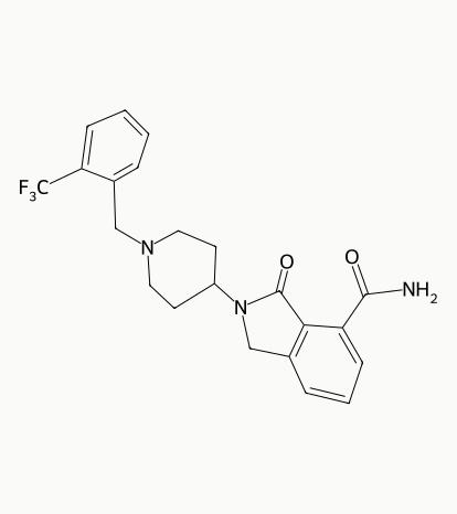 NC(=O)c1cccc2c1C(=O)N(C1CCN(Cc3ccccc3C(F)(F)F)CC1)C2